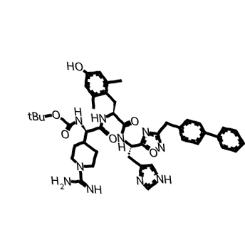 Cc1cc(O)cc(C)c1C[C@H](NC(=O)[C@H](NC(=O)OC(C)(C)C)C1CCN(C(=N)N)CC1)C(=O)N[C@@H](Cc1c[nH]cn1)c1nc(Cc2ccc(-c3ccccc3)cc2)no1